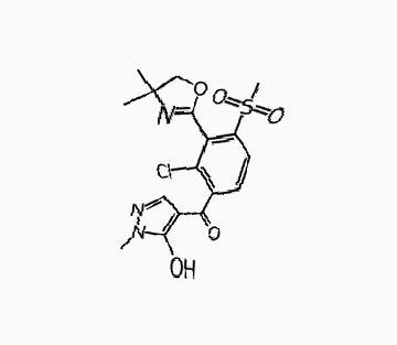 Cn1ncc(C(=O)c2ccc(S(C)(=O)=O)c(C3=NC(C)(C)CO3)c2Cl)c1O